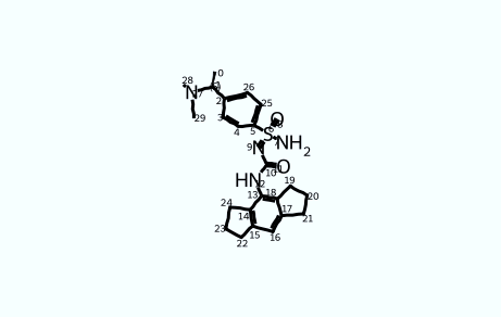 C[C@@H](c1ccc(S(N)(=O)=NC(=O)Nc2c3c(cc4c2CCC4)CCC3)cc1)N(C)C